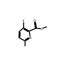 COC(=O)c1nc(C)ccc1F